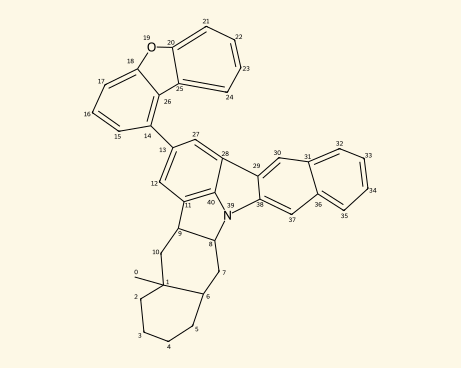 CC12CCCCC1CC1C(C2)c2cc(-c3cccc4oc5ccccc5c34)cc3c4cc5ccccc5cc4n1c23